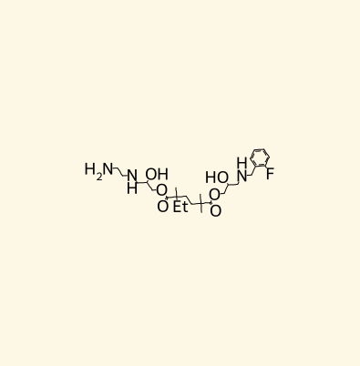 CCC(C)(CCC(C)(C)C(=O)OCC(O)CNCc1ccccc1F)C(=O)OCC(O)CNCCN